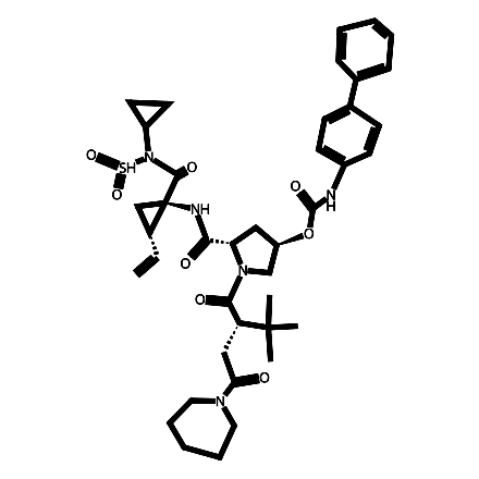 C=C[C@@H]1C[C@]1(NC(=O)[C@@H]1C[C@@H](OC(=O)Nc2ccc(-c3ccccc3)cc2)CN1C(=O)[C@@H](CC(=O)N1CCCCC1)C(C)(C)C)C(=O)N(C1CC1)[SH](=O)=O